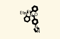 CCN(CC)C1CCCCC1N(Cc1ccccc1)C(=O)c1ccc(-n2ccnc2)cc1